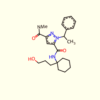 CNC(=O)c1cc(C(=O)NC2(CCCO)CCCCC2)n(C(C)c2ccccc2)n1